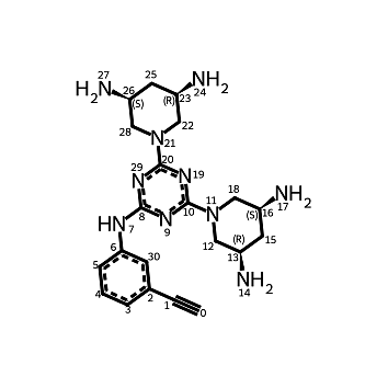 C#Cc1cccc(Nc2nc(N3C[C@H](N)C[C@H](N)C3)nc(N3C[C@H](N)C[C@H](N)C3)n2)c1